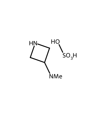 CNC1CNC1.O=S(=O)(O)O